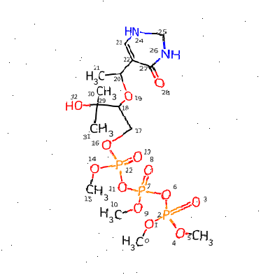 COP(=O)(OC)OP(=O)(OC)OP(=O)(OC)OCC(OC(C)C1=CNCNC1=O)C(C)(C)O